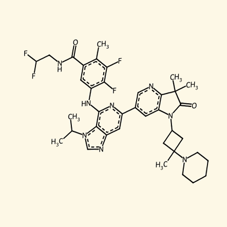 Cc1c(C(=O)NCC(F)F)cc(Nc2nc(-c3cnc4c(c3)N(C3CC(C)(N5CCCCC5)C3)C(=O)C4(C)C)cc3ncn(C(C)C)c23)c(F)c1F